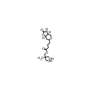 CC(CO)(CO)COC(=O)CCCC1C[C@H]2OC(=O)N[C@H]2CS1